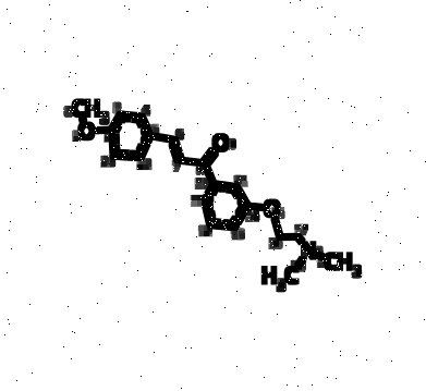 COc1ccc(C=CC(=O)c2cccc(OCCN(C)C)c2)cc1